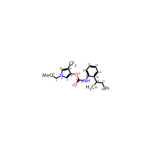 COCn1cc(OC(=O)Nc2ccccc2C(C)CC(C)C)c(C(F)(F)F)c1